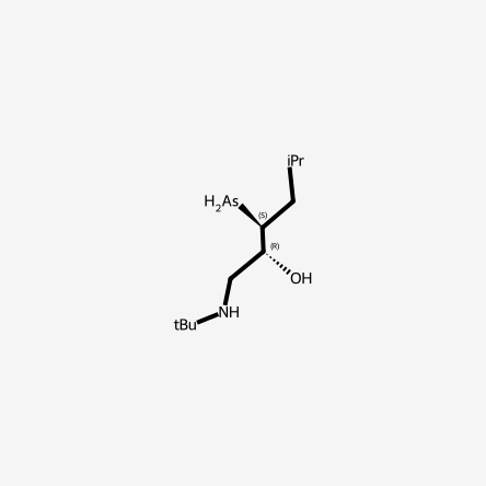 CC(C)C[C@H]([AsH2])[C@H](O)CNC(C)(C)C